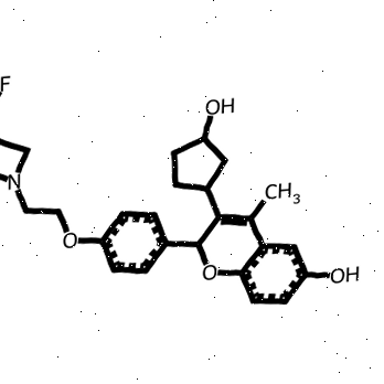 CC1=C(C2CCC(O)C2)C(c2ccc(OCCN3CC(CF)C3)cc2)Oc2ccc(O)cc21